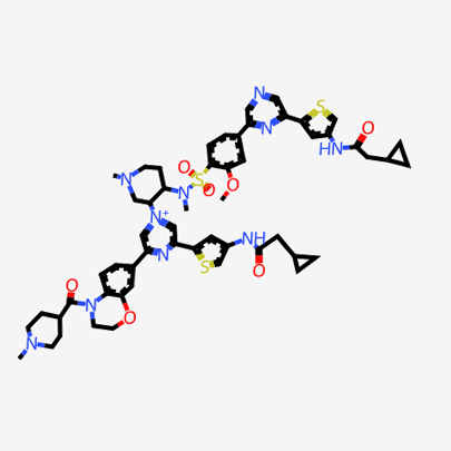 COc1cc(-c2cncc(-c3cc(NC(=O)CC4CC4)cs3)n2)ccc1S(=O)(=O)N(C)C1CCN(C)CC1[n+]1cc(-c2ccc3c(c2)OCCN3C(=O)C2CCN(C)CC2)nc(-c2cc(NC(=O)CC3CC3)cs2)c1